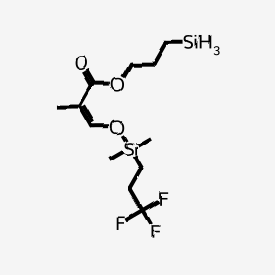 CC(=CO[Si](C)(C)CCC(F)(F)F)C(=O)OCCC[SiH3]